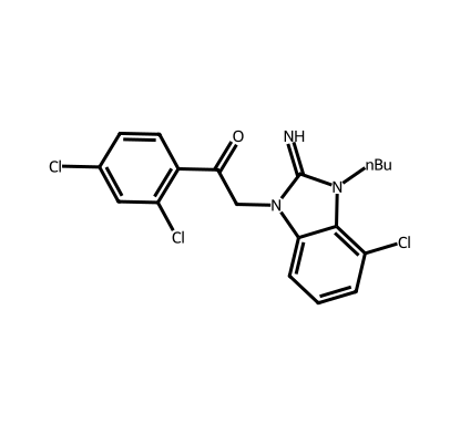 CCCCn1c(=N)n(CC(=O)c2ccc(Cl)cc2Cl)c2cccc(Cl)c21